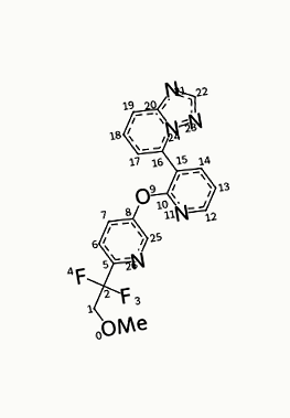 COCC(F)(F)c1ccc(Oc2ncccc2-c2cccc3ncnn23)cn1